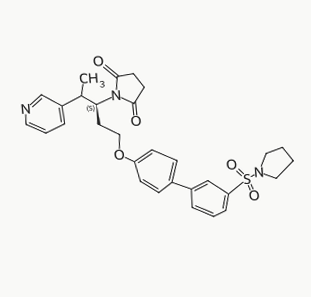 CC(c1cccnc1)[C@H](CCOc1ccc(-c2cccc(S(=O)(=O)N3CCCC3)c2)cc1)N1C(=O)CCC1=O